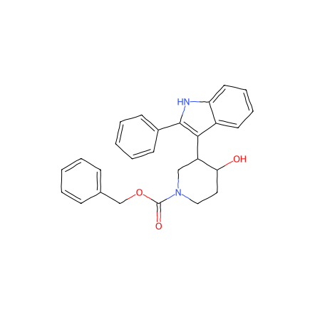 O=C(OCc1ccccc1)N1CCC(O)C(c2c(-c3ccccc3)[nH]c3ccccc23)C1